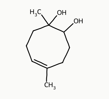 C/C1=C/CCC(C)(O)C(O)CC1